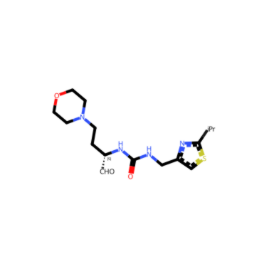 CC(C)c1nc(CNC(=O)N[C@H](C=O)CCN2CCOCC2)cs1